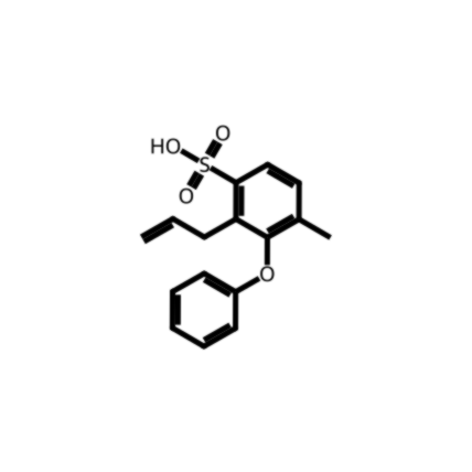 C=CCc1c(S(=O)(=O)O)ccc(C)c1Oc1ccccc1